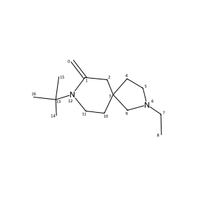 C=C1CC2(CCN(CC)C2)CCN1C(C)(C)C